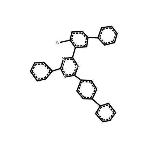 Brc1ccc(-c2ccccc2)cc1-c1nc(-c2ccccc2)nc(-c2ccc(-c3ccccc3)cc2)n1